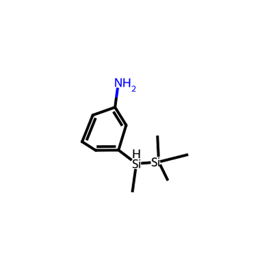 C[SiH](c1cccc(N)c1)[Si](C)(C)C